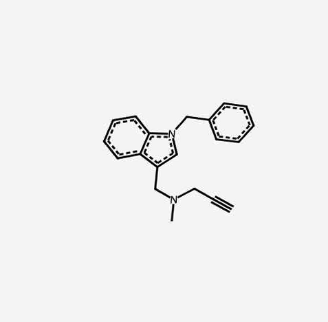 C#CCN(C)Cc1cn(Cc2ccccc2)c2ccccc12